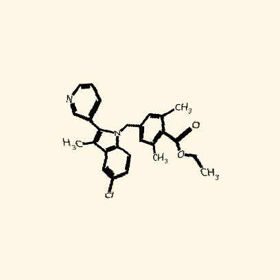 CCOC(=O)c1c(C)cc(Cn2c(-c3cccnc3)c(C)c3cc(Cl)ccc32)cc1C